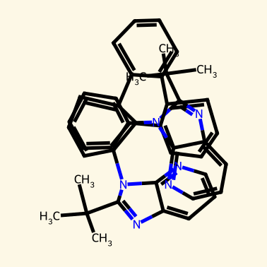 CC(C)(C)c1nc2cccnc2n1-c1ccccc1-c1ccccc1-c1ccccc1-c1ccccc1-n1c(C(C)(C)C)nc2cccnc21